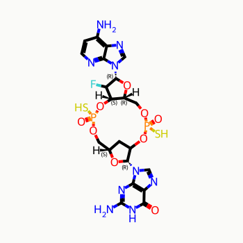 Nc1nc2c(ncn2[C@@H]2O[C@@H]3COP(=O)(S)O[C@@H]4C(F)[C@H](n5cnc6c(N)ccnc65)O[C@@H]4COP(=O)(S)OC2C3)c(=O)[nH]1